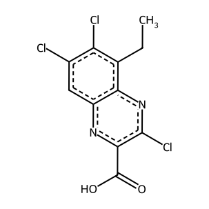 CCc1c(Cl)c(Cl)cc2nc(C(=O)O)c(Cl)nc12